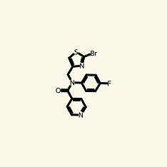 O=C(c1ccncc1)N(Cc1csc(Br)n1)c1ccc(F)cc1